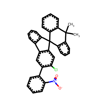 CC1(C)c2ccccc2C2(c3ccccc3-c3cc(-c4ccccc4[N+](=O)[O-])c(Cl)cc32)c2ccccc21